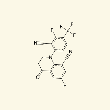 N#Cc1cc(F)cc2c1N(c1ccc(C(F)(F)F)c(F)c1C#N)CCC2=O